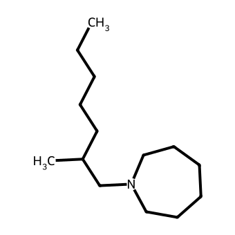 CCCCCC(C)CN1CCCCCC1